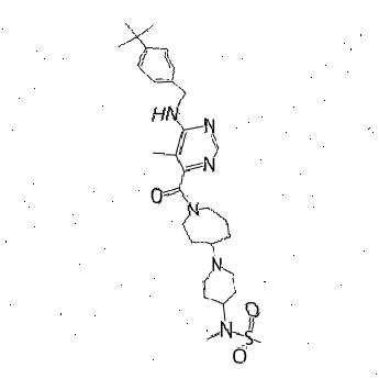 Cc1c(NCc2ccc(C(C)(C)C)cc2)ncnc1C(=O)N1CCCC(N2CCC(N(C)S(C)(=O)=O)CC2)CC1